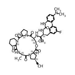 C#C[C@@H]1C[C@H]2C(=O)O[C@@H](C)[C@H](NC(=O)[C@H](Cc3cc(F)cc(F)c3)NC(=O)Nc3ccc(N(C)C)cc3)C(=O)N3CCC[C@H]3C(=O)N3CCCC[C@H]3C(=O)N[C@@H](C)C(=O)N2C1